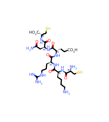 N=C(N)NCCC[C@H](NC(=O)[C@H](CCCCN)NC(=O)[C@@H](N)CS)C(=O)N[C@@H](CCC(=O)O)C(=O)N[C@@H](CC(N)=O)C(=O)N[C@@H](CS)C(=O)O